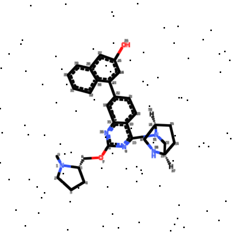 CN1CCC[C@H]1COc1nc(N2C[C@H]3CC[C@@H]2CN3)c2ccc(-c3cc(O)cc4ccccc34)cc2n1